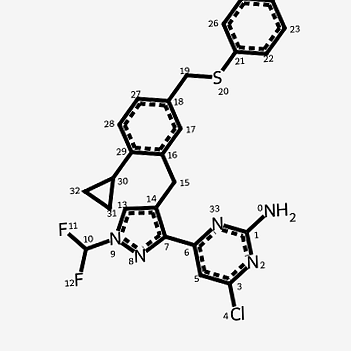 Nc1nc(Cl)cc(-c2nn(C(F)F)cc2Cc2cc(CSc3ccccc3)ccc2C2CC2)n1